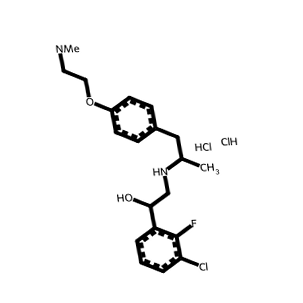 CNCCOc1ccc(CC(C)NCC(O)c2cccc(Cl)c2F)cc1.Cl.Cl